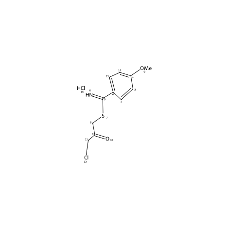 COc1ccc(C(=N)SCC(=O)CCl)cc1.Cl